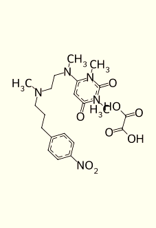 CN(CCCc1ccc([N+](=O)[O-])cc1)CCN(C)c1cc(=O)n(C)c(=O)n1C.O=C(O)C(=O)O